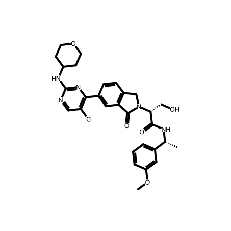 COc1cccc([C@@H](C)NC(=O)[C@@H](CO)N2Cc3ccc(-c4nc(NC5CCOCC5)ncc4Cl)cc3C2=O)c1